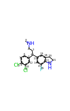 CNCCC(c1ccc(Cl)c(Cl)c1)c1cc(F)c2c(c1)CCN2